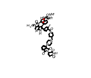 COC(=O)N[C@@H]1CC[C@@H](n2c(=O)n(C)c3cnc4[nH]c(-c5ccc(C(=O)N6CCC(CN7CCN(c8cccc9c8C(=O)N(C8CCC(=O)NC8=O)C9=O)CC7)CC6)c(F)c5)c(-c5ccc6c(cnn6C(C)C)c5)c4c32)C1